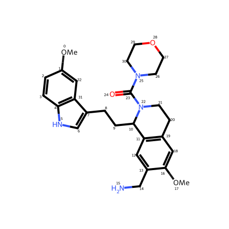 COc1ccc2[nH]cc(CCC3c4cc(CN)c(OC)cc4CCN3C(=O)N3CCOCC3)c2c1